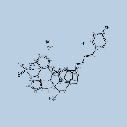 C[C@@H](SC1COC(C=CC=Cc2ccc(C#N)cc2F)OC1)[C@@](Cn1cncn1)(OC(=O)c1cccc(Cl)c1COP(=O)([O-])[O-])c1ccc(F)cc1F.[Na+].[Na+]